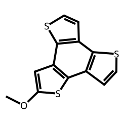 COc1cc2c3sccc3c3sccc3c2s1